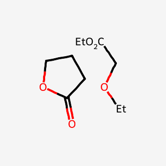 CCOCC(=O)OCC.O=C1CCCO1